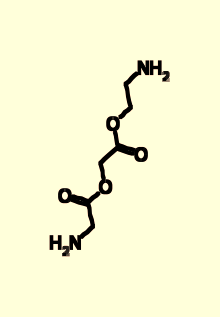 NCCOC(=O)COC(=O)CN